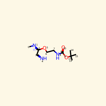 C/N=C(\C=N)OCCNC(=O)OC(C)(C)C